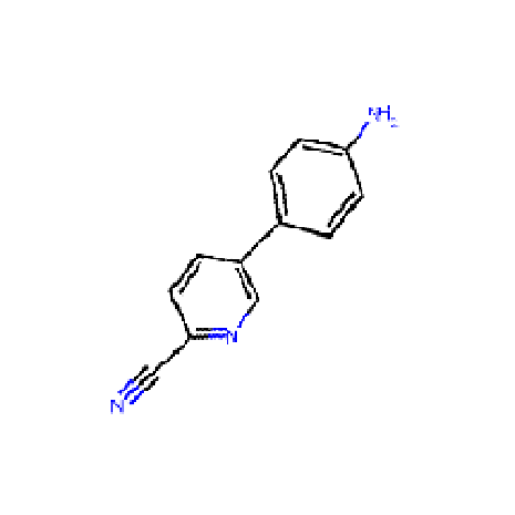 N#Cc1ccc(-c2ccc(N)cc2)cn1